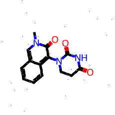 Cn1cc2ccccc2c(N2CCC(=O)NC2=O)c1=O